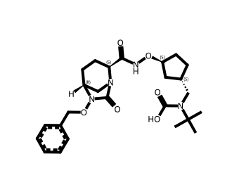 CC(C)(C)N(C[C@H]1CC[C@H](ONC(=O)[C@@H]2CC[C@@H]3CN2C(=O)N3OCc2ccccc2)C1)C(=O)O